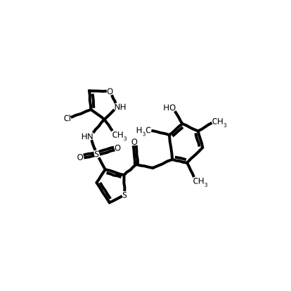 Cc1cc(C)c(CC(=O)c2sccc2S(=O)(=O)NC2(C)NOC=C2Cl)c(C)c1O